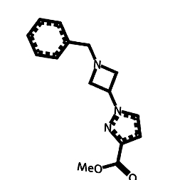 COC(=O)c1ccn(C2CN(Cc3ccccc3)C2)n1